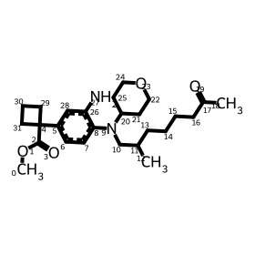 COC(=O)C1(c2ccc(N(CC(C)CCCCC(C)=O)C3CCOCC3)c(N)c2)CCC1